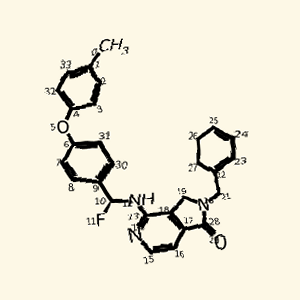 Cc1ccc(Oc2ccc([C@H](F)Nc3nccc4c3CN(CC3=CC=CCC3)C4=O)cc2)cc1